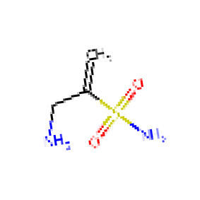 C=C([CH]N)S(N)(=O)=O